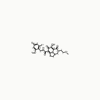 COCCN1CC2CCc3c(C(=O)NCc4c(F)cc(F)cc4OC)c(=O)c(O)c(n32)C1=O